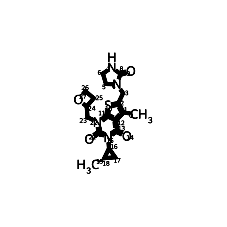 Cc1c(CN2CCNC2=O)sc2c1c(=O)n(C1C[C@@H]1C)c(=O)n2CC1CCO1